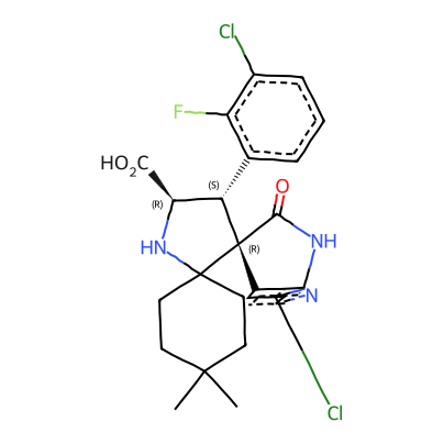 CC1(C)CCC2(CC1)N[C@@H](C(=O)O)[C@H](c1cccc(Cl)c1F)[C@]21C(=O)Nc2nc(Cl)ccc21